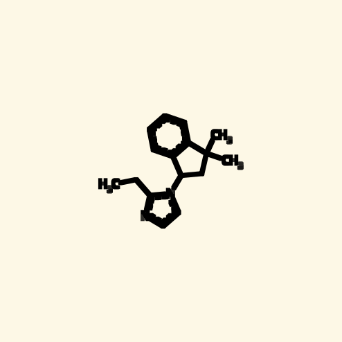 CCc1nccn1C1CC(C)(C)c2ccccc21